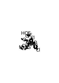 CCOCCOc1cc(Cl)cc(C(=O)Nc2ccc(Cl)cn2)c1NC(=O)c1scc(CN2CCN(C)CC2)c1Cl.O=C(O)C(F)(F)F